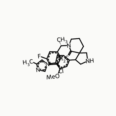 C=C1N([C@@H](C)c2cc(F)cc(Cl)c2)CCCC12CNCC2c1ccc(-n2cnc(C)c2)c(OC)c1